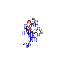 CN(C)CCNc1nc(Nc2ncc(C(=O)NC3CC3)o2)nc(-c2ccccc2)n1